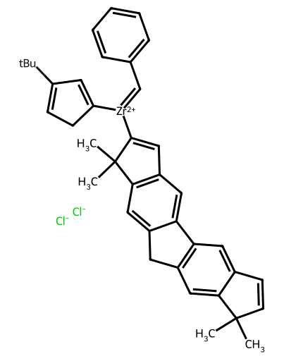 CC(C)(C)C1=CC[C]([Zr+2](=[CH]c2ccccc2)[C]2=Cc3cc4c(cc3C2(C)C)Cc2cc3c(cc2-4)C=CC3(C)C)=C1.[Cl-].[Cl-]